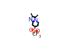 Cc1nc2cc(S(=O)(=O)C(F)(F)F)ccn2c1C